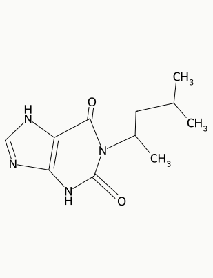 CC(C)CC(C)n1c(=O)[nH]c2nc[nH]c2c1=O